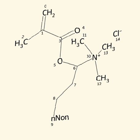 C=C(C)C(=O)OC(CCCCCCCCCCC)[N+](C)(C)C.[Cl-]